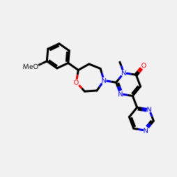 COc1cccc(C2CCN(c3nc(-c4ccncn4)cc(=O)n3C)CCO2)c1